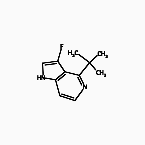 CC(C)(C)c1nccc2[nH]cc(F)c12